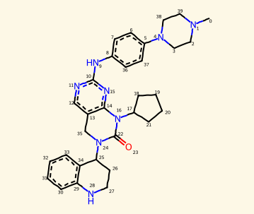 CN1CCN(c2ccc(Nc3ncc4c(n3)N(C3CCCC3)C(=O)N(C3CCNc5ccccc53)C4)cc2)CC1